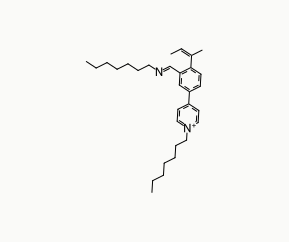 C/C=C(/C)c1ccc(-c2cc[n+](CCCCCCC)cc2)cc1/C=N/CCCCCCC